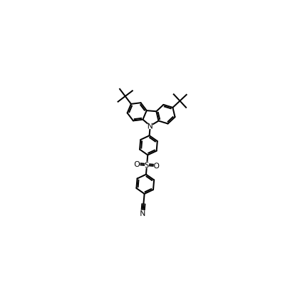 CC(C)(C)c1ccc2c(c1)c1cc(C(C)(C)C)ccc1n2-c1ccc(S(=O)(=O)c2ccc(C#N)cc2)cc1